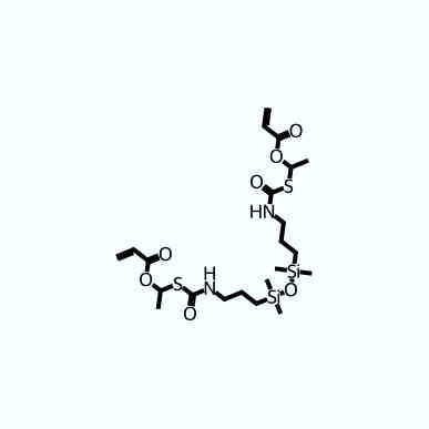 C=CC(=O)OC(C)SC(=O)NCCC[Si](C)(C)O[Si](C)(C)CCCNC(=O)SC(C)OC(=O)C=C